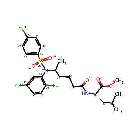 COC(=O)[C@H](CC(C)C)NC(=O)CCCC(C)N(c1cc(Cl)ccc1F)S(=O)(=O)c1ccc(Cl)cc1